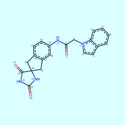 O=C(Cn1ccc2ccccc21)Nc1ccc2c(c1)CC1(C2)NC(=O)NC1=O